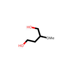 COC(CO)CCO